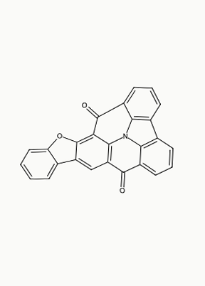 O=c1c2cccc3c4cccc5c(=O)c6c7oc8ccccc8c7cc1c6n(c23)c54